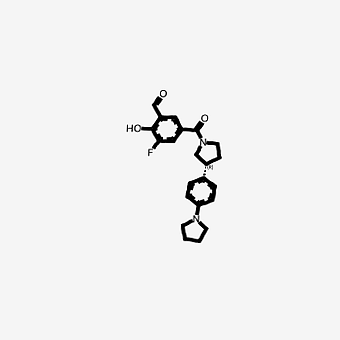 O=Cc1cc(C(=O)N2CC[C@H](c3ccc(N4CCCC4)cc3)C2)cc(F)c1O